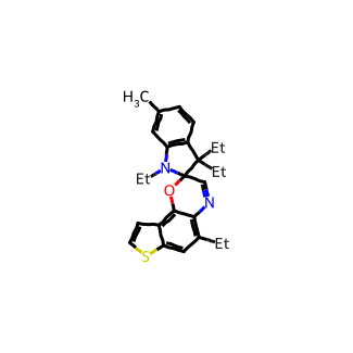 CCc1cc2sccc2c2c1N=CC1(O2)N(CC)c2cc(C)ccc2C1(CC)CC